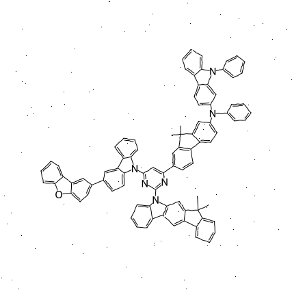 CC1(C)c2cc(-c3cc(-n4c5ccccc5c5cc(-c6ccc7oc8ccccc8c7c6)ccc54)nc(-n4c5ccccc5c5cc6c(cc54)C(C)(C)c4ccccc4-6)n3)ccc2-c2ccc(N(c3ccccc3)c3ccc4c5ccccc5n(-c5ccccc5)c4c3)cc21